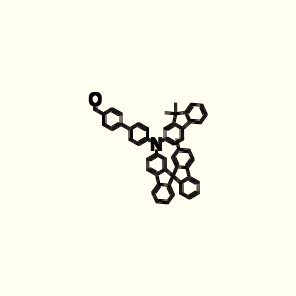 Cc1ccc2c(c1)C1(c3ccccc3-2)c2ccccc2-c2ccc(N(c3ccc(-c4ccc(C=O)cc4)cc3)c3ccc4c(c3)C(C)(C)c3ccccc3-4)cc21